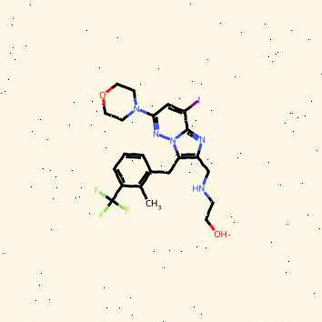 Cc1c(Cc2c(CNCCO)nc3c(I)cc(N4CCOCC4)nn23)cccc1C(F)(F)F